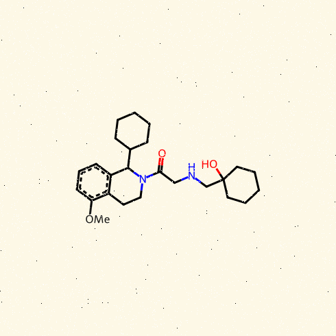 COc1cccc2c1CCN(C(=O)CNCC1(O)CCCCC1)C2C1CCCCC1